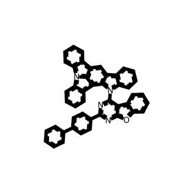 c1ccc(-c2ccc(-c3nc(-n4c5ccccc5c5cc6c7ccccc7n7c8ccccc8c(c54)c67)c4c(n3)oc3ccccc34)cc2)cc1